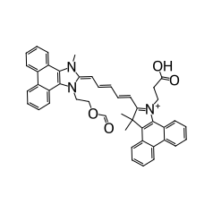 CN1/C(=C/C=C/C=C/C2=[N+](CCC(=O)O)c3c(c4ccccc4c4ccccc34)C2(C)C)N(CCOC=O)c2c1c1ccccc1c1ccccc21